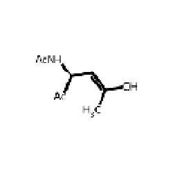 CC(=O)N[C@@H](/C=C(\C)O)C(C)=O